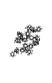 c1ccc(-n2cnc(-c3ccc4c(c3)c3cc(-c5cc(-n6c7ccc(-c8ccoc8-c8ncn(-c9ccccc9)n8)cc7c7cc(-c8ccoc8-c8ncn(-c9ccccc9)n8)ccc76)cc(-n6c7ncncc7c7cncnc76)c5)ccc3n4-c3ccccc3)n2)cc1